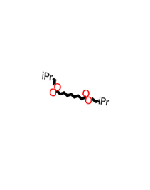 CC(C)CCOC(=O)CCCCCCCC(=O)OCCC(C)C